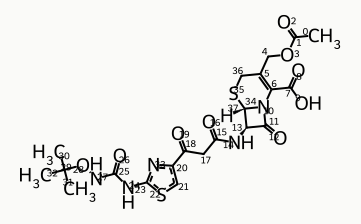 CC(=O)OCC1=C(C(=O)O)N2C(=O)[C@@H](NC(=O)CC(=O)c3csc(NC(=O)NOC(C)(C)C)n3)[C@@H]2SC1